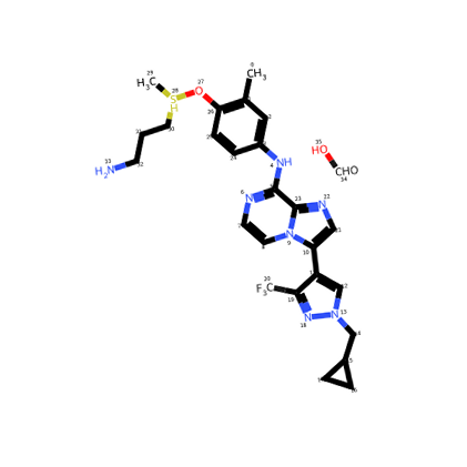 Cc1cc(Nc2nccn3c(-c4cn(CC5CC5)nc4C(F)(F)F)cnc23)ccc1O[SH](C)CCCN.O=CO